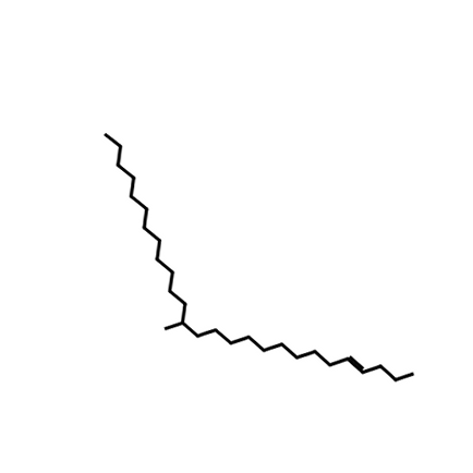 CCCC=CCCCCCCCCCC(C)CCCCCCCCCCCC